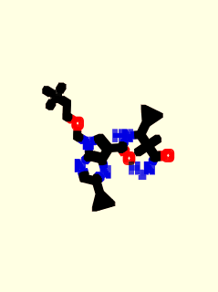 CC(C)(C(N)=O)C(NC(=O)c1cn(COCC[Si](C)(C)C)c2ncc(C3CC3)nc12)C1CC1